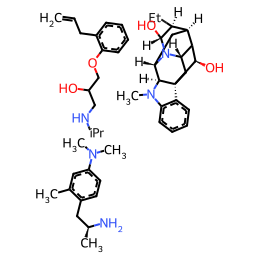 C=CCc1ccccc1OCC(O)CNC(C)C.CC[C@H]1[C@@H]2C[C@H]3[C@@H]4N(C)c5ccccc5[C@]45C[C@@H](C2[C@H]5O)N3[C@@H]1O.Cc1cc(N(C)C)ccc1C[C@H](C)N